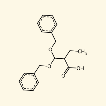 CCC(C(=O)O)C(OCc1ccccc1)OCc1ccccc1